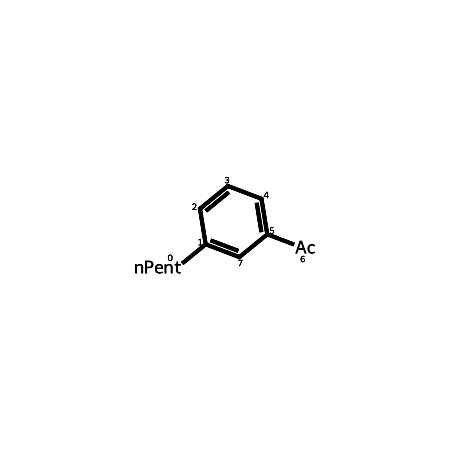 [CH2]CCCCc1cccc(C(C)=O)c1